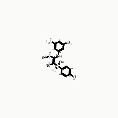 CC(C)N/C(Nc1cc(C(F)(F)F)cc(C(F)(F)F)c1)=C(\C#N)S(=O)(=O)c1ccc(Cl)cc1